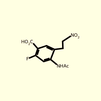 CC(=O)Nc1cc(F)c(C(=O)O)cc1CC[N+](=O)[O-]